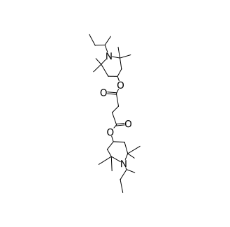 CCC(C)N1C(C)(C)CC(OC(=O)CCC(=O)OC2CC(C)(C)N(C(C)CC)C(C)(C)C2)CC1(C)C